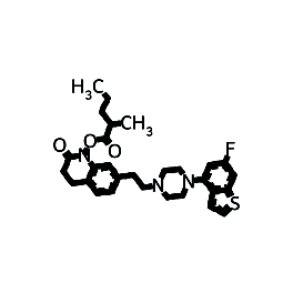 CCCC(C)C(=O)ON1C(=O)CCc2ccc(CCN3CCN(c4cc(F)cc5sccc45)CC3)cc21